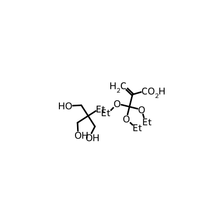 C=C(C(=O)O)C(OCC)(OCC)OCC.CCC(CO)(CO)CO